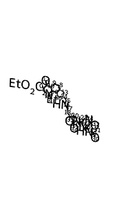 CCOC(=O)c1cn(CC)c2c3c(ccc2c1=O)CC(CNCCC1CN(c2cnc4c(n2)NC(=O)CO4)C(=O)O1)C3